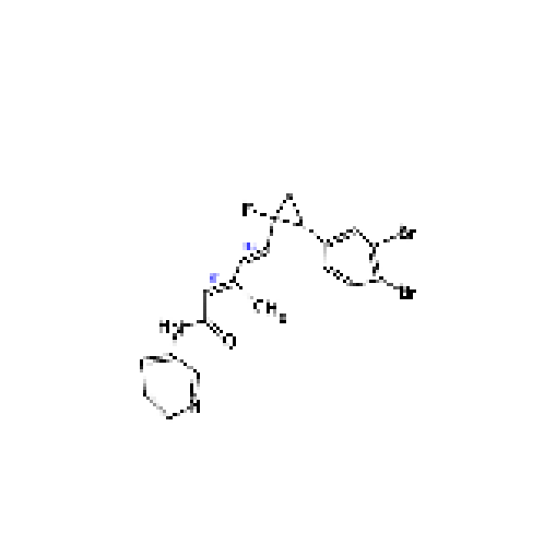 CC(/C=C/C1(F)CC1c1ccc(Br)c(Br)c1)=C\C(=O)Nc1cccnc1